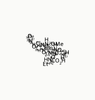 CC[C@@H]1C[C@]1(NC(=O)[C@@H]1C[C@@H](Oc2cc(NCCOC)nc3c(Cl)c(OCCN4CCOCC4)ccc23)CN1C(=O)[C@@H](NC(=O)O[C@@H]1C[C@@H]2C[C@@H]2C1)C(C)(C)C)C(=O)O